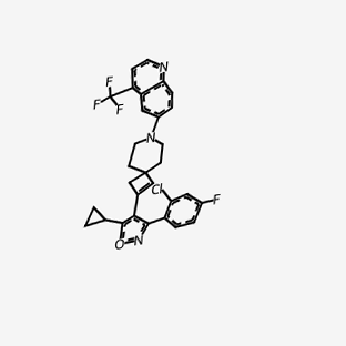 Fc1ccc(-c2noc(C3CC3)c2C2=CC3(CCN(c4ccc5nccc(C(F)(F)F)c5c4)CC3)C2)c(Cl)c1